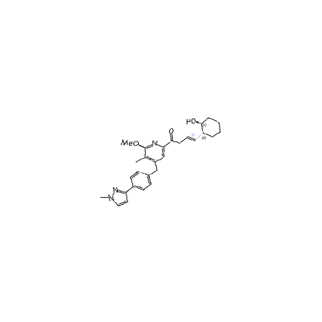 COc1nc(C(=O)C/C=C/[C@H]2CCCC[C@@H]2O)cc(Cc2ccc(-c3ccn(C)n3)cc2)c1C